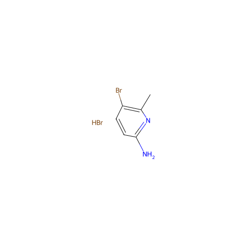 Br.Cc1nc(N)ccc1Br